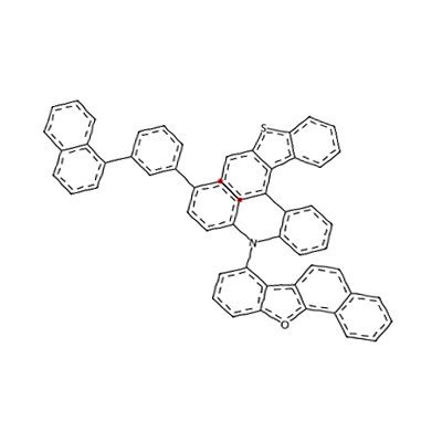 c1cc(-c2ccc(N(c3ccccc3-c3cccc4sc5ccccc5c34)c3cccc4oc5c6ccccc6ccc5c34)cc2)cc(-c2cccc3ccccc23)c1